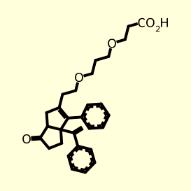 C=C(c1ccccc1)C12CCC(=O)C1CC(CCOCCCOCCC(=O)O)=C2c1ccccc1